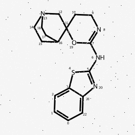 c1ccc2sc(NC3=NCCC4(CN5CCC4CC5)O3)nc2c1